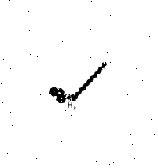 CCCCCCCCCCCCCCCCCC(C)(C)[SiH2]Oc1cccc2c1ccc1ccccc12